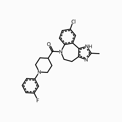 Cc1nc2c([nH]1)-c1cc(Cl)ccc1N(C(=O)C1CCN(c3cccc(F)c3)CC1)CC2